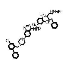 CC(C)NCCC(CSc1ccccc1)Nc1ccc(S(=O)(=O)Nc2ncnc3cc(N4CCN(Cc5cc(Cl)ccc5-c5ccccc5)CC4)ccc23)cc1C(F)(F)F